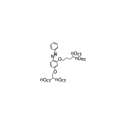 CCCCCCCCCCC(CCCCCCCC)CCCOc1cc(OCC(CCCCCCCC)CCCCCCCC)ccc1/N=N/c1ccccc1